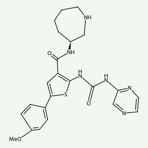 COc1ccc(-c2cc(C(=O)N[C@H]3CCCCNC3)c(NC(=O)Nc3cnccn3)s2)cc1